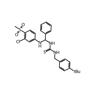 CC(C)(C)c1ccc(CNC(=S)NC(Nc2ccc(S(C)(=O)=O)c(Cl)c2)c2ccccc2)cc1